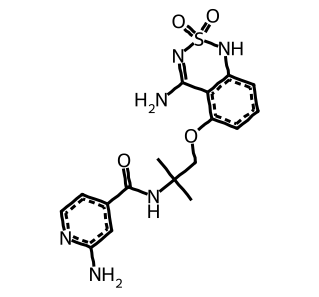 CC(C)(COc1cccc2c1C(N)=NS(=O)(=O)N2)NC(=O)c1ccnc(N)c1